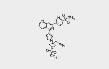 CS(=O)(=O)N1CC(CC#N)(n2ccc(-c3nc(-c4ccc(S(N)(=O)=O)nc4)cc4ncccc34)n2)C1